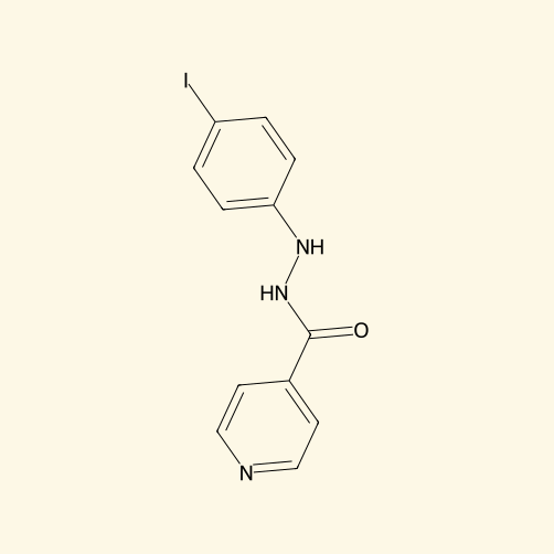 O=C(NNc1ccc(I)cc1)c1ccncc1